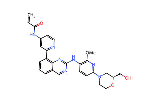 C=CC(=O)Nc1ccnc(-c2cccc3cnc(Nc4ccc(N5CCO[C@H](CO)C5)nc4OC)nc23)c1